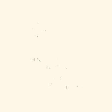 C=CC1=C(C(=O)O)N2C(=O)C(NC(=O)C(N)c3cccc(NS(C)(=O)=O)c3)[C@H]2SC1